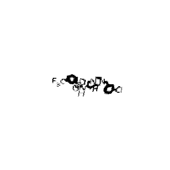 O=S(=O)(N[C@H]1C[C@H]2CN(Cc3cccc(Cl)c3)CCN2C1)c1cccc(C(F)(F)F)c1